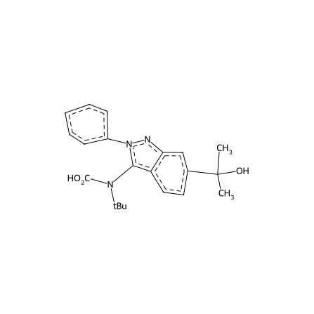 CC(C)(O)c1ccc2c(N(C(=O)O)C(C)(C)C)n(-c3ccccc3)nc2c1